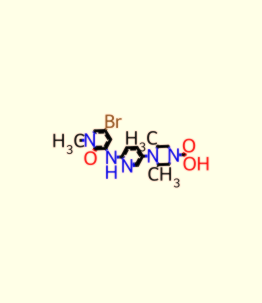 CC1CN(C(=O)O)C[C@H](C)N1c1ccc(Nc2cc(Br)cn(C)c2=O)nc1